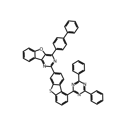 c1ccc(-c2ccc(-c3nc(-c4ccc5c(c4)sc4cccc(-c6nc(-c7ccccc7)nc(-c7ccccc7)n6)c45)nc4c3oc3ccccc34)cc2)cc1